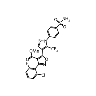 COC(=O)c1c(-c2c(F)cccc2Cl)noc1-c1cnn(-c2ccc(S(N)(=O)=O)cc2)c1C(F)(F)F